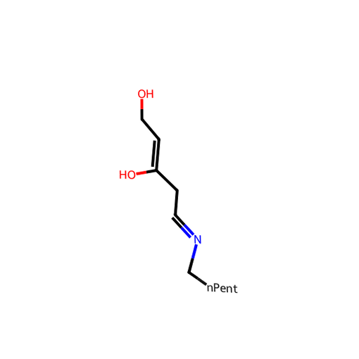 CCCCCCN=CCC(O)=CCO